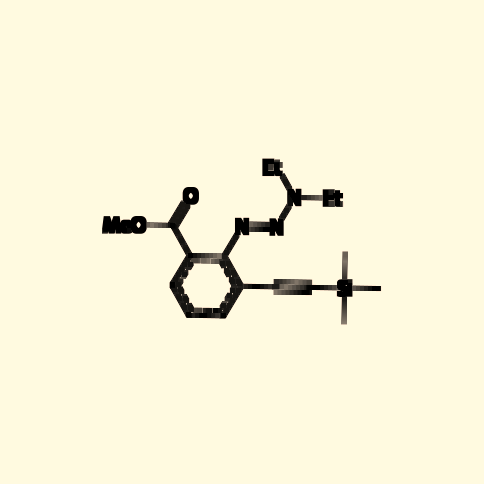 CCN(CC)N=Nc1c(C#C[Si](C)(C)C)cccc1C(=O)OC